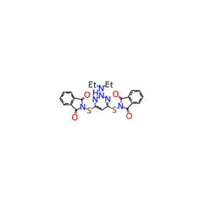 CCN(CC)N1N=C(SN2C(=O)c3ccccc3C2=O)C=C(SN2C(=O)c3ccccc3C2=O)N1